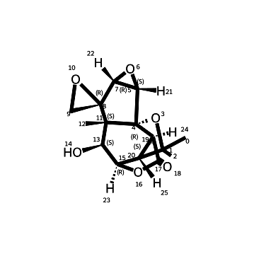 CC1(C)O[C@@]23[C@H]4O[C@H]4[C@]4(CO4)[C@@]2(C)[C@H](O)[C@@H]2OC(=O)[C@H]3[C@@H]21